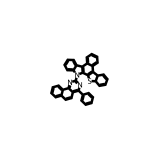 C1=CC2Sc3c(c4ccccc4c4c5ccccc5n(-c5nc(-c6ccccc6)c6ccc7ccccc7c6n5)c34)C2C=C1